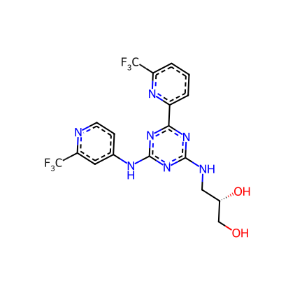 OC[C@@H](O)CNc1nc(Nc2ccnc(C(F)(F)F)c2)nc(-c2cccc(C(F)(F)F)n2)n1